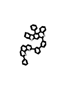 c1ccc(-c2ccc3ccc4ccc(-c5cccc(-c6cccc(-c7nc8ccccc8c8c(-c9ccccc9)c9c(cc78)oc7ccccc79)c6)c5)nc4c3n2)cc1